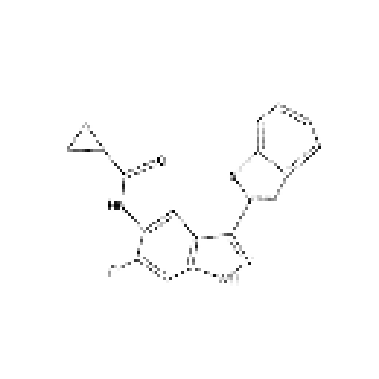 O=C(Nc1cc2c(-c3cc4ccccc4s3)n[nH]c2cc1F)C1CC1